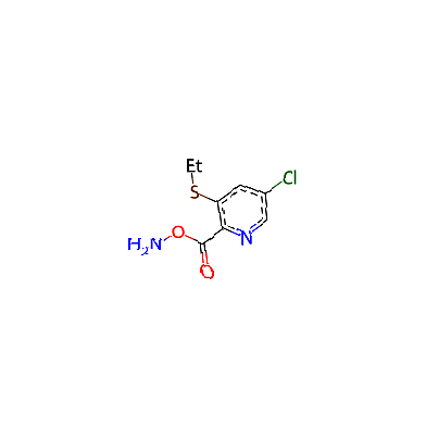 CCSc1cc(Cl)cnc1C(=O)ON